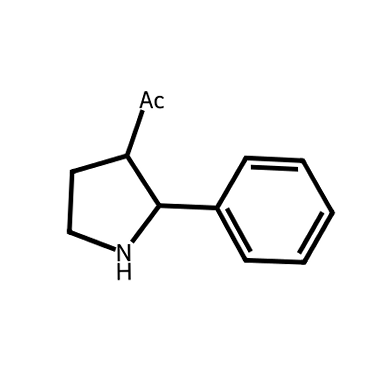 CC(=O)C1CCNC1c1ccccc1